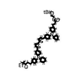 CCC(C)(C)C(=O)CCc1ccc(N(c2ccccc2)c2ccc(-c3ccc(-c4ccc(-c5ccc(N(c6ccccc6)c6ccc(CCC(=O)OCCOC(C)(C)C)cc6)cc5)s4)s3)cc2)cc1